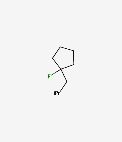 CC(C)CC1(F)CCCC1